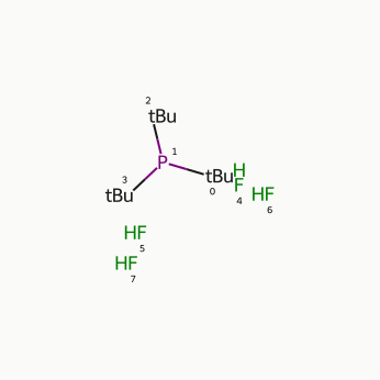 CC(C)(C)P(C(C)(C)C)C(C)(C)C.F.F.F.F